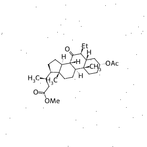 CC[C@@H]1C(=O)[C@@H]2[C@H](CC[C@]3(C)[C@@H]([C@H](C)CC(=O)OC)CC[C@@H]23)[C@@]2(C)CC[C@@H](OC(C)=O)C[C@@H]12